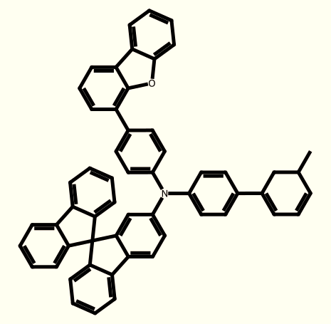 CC1C=CC=C(c2ccc(N(c3ccc(-c4cccc5c4oc4ccccc45)cc3)c3ccc4c(c3)C3(c5ccccc5-c5ccccc53)c3ccccc3-4)cc2)C1